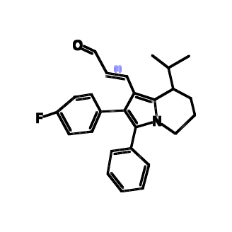 CC(C)C1CCCn2c(-c3ccccc3)c(-c3ccc(F)cc3)c(/C=C/C=O)c21